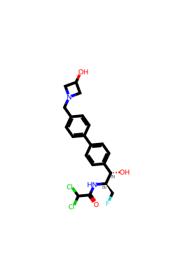 O=C(N[C@H](CF)[C@@H](O)c1ccc(-c2ccc(CN3CC(O)C3)cc2)cc1)C(Cl)Cl